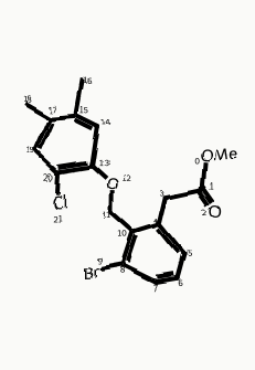 COC(=O)Cc1cccc(Br)c1COc1cc(C)c(C)cc1Cl